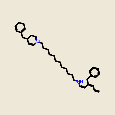 C=C/C=C(\C=C/NCCCCCCCCCCCC[N+]1=CCC(CC2=CCCC=C2)C=C1)Cc1ccccc1